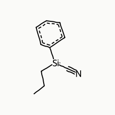 CCC[Si](C#N)c1ccccc1